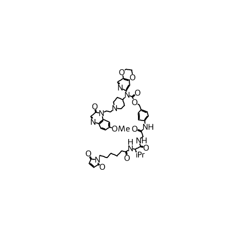 COc1ccc2ncc(=O)n(CCN3CCC(N(C(=O)OCc4ccc(NC(=O)CNC(=O)C(NC(=O)CCCCCN5C(=O)C=CC5=O)C(C)C)cc4)c4cc5c(cn4)OCCO5)CC3)c2c1